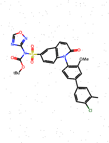 COc1cc(-c2ccc(Cl)c(C)c2)ccc1-n1c(=O)ccc2cc(S(=O)(=O)N(C(=O)OC(C)(C)C)c3ncon3)ccc21